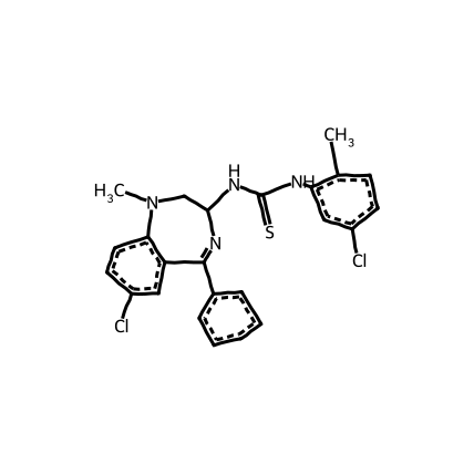 Cc1ccc(Cl)cc1NC(=S)NC1CN(C)c2ccc(Cl)cc2C(c2ccccc2)=N1